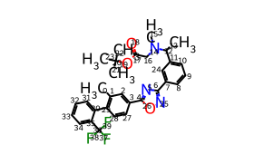 Cc1cc(-c2nc(-c3cccc(C(C)N(C)CC(=O)OC(C)(C)C)c3)no2)ccc1-c1ccccc1C(F)(F)F